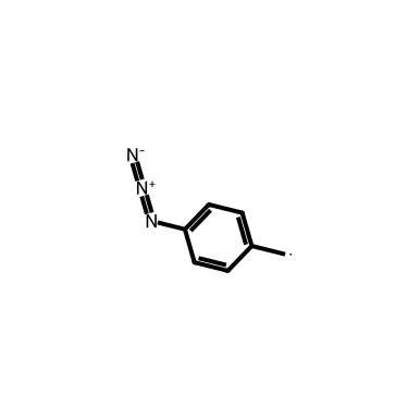 [CH2]c1ccc(N=[N+]=[N-])cc1